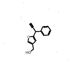 C#CC(c1ccccc1)c1cc(CO)co1